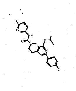 Cc1ccc(NC(=O)N2CCc3nc(-c4ccc(Cl)nc4)nc(OC(C)C)c3C2)cn1